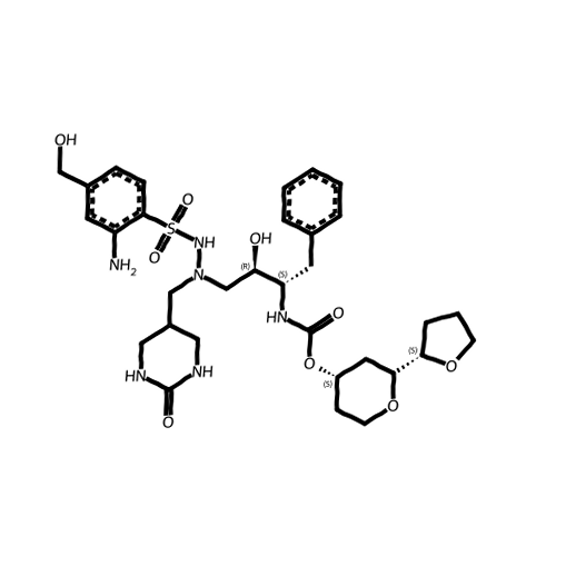 Nc1cc(CO)ccc1S(=O)(=O)NN(CC1CNC(=O)NC1)C[C@@H](O)[C@H](Cc1ccccc1)NC(=O)O[C@H]1CCOC([C@@H]2CCCO2)C1